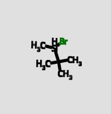 C[SiH](Br)C(C)(C)C